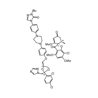 CCC(C)n1ncn(-c2ccc(N3CCN(c4ccc(OC[C@H]5CO[C@](Cn6cncn6)(c6ccc(Cl)cc6Cl)O5)cc4)CC3)cc2)c1=O.COC1=CC(=O)C[C@@H](C)[C@]12Oc1c(Cl)c(OC)cc(OC)c1C2=O